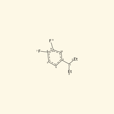 CCC(CC)c1ccc(F)c(F)c1